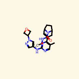 Cc1cnc(Nc2cnn(C3COC3)c2)nc1C1=CC2CCC(C1)N2C(=O)NCC(F)(F)F